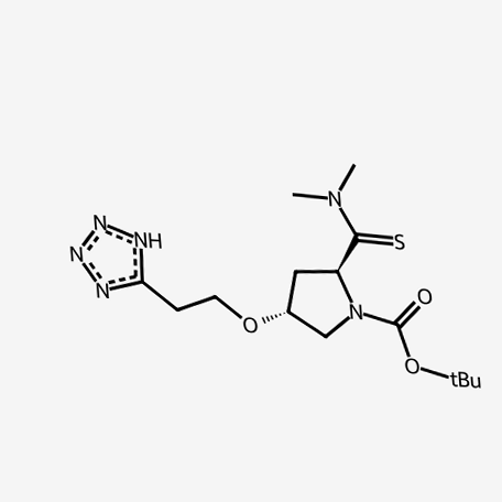 CN(C)C(=S)[C@@H]1C[C@@H](OCCc2nnn[nH]2)CN1C(=O)OC(C)(C)C